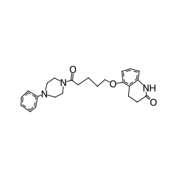 O=C1CCc2c(cccc2OCCCCC(=O)N2CCN(c3ccccc3)CC2)N1